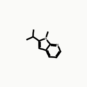 CC(C)c1cc2cccnc2n1C